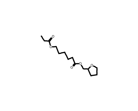 CCC(=O)OCCCCCC(=O)OCC1CCCO1